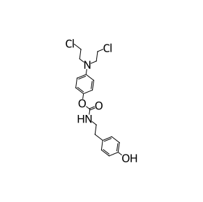 O=C(NCCc1ccc(O)cc1)Oc1ccc(N(CCCl)CCCl)cc1